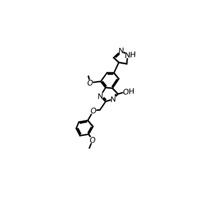 COc1cccc(OCc2nc(O)c3cc(C4C=NNC4)cc(OC)c3n2)c1